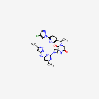 Cc1cc(Nc2cc(C)[nH]n2)nc(N2CC3(C2)NC(=O)CN(C(C)c2ccc(-n4cc(F)cn4)nc2)C3=O)n1